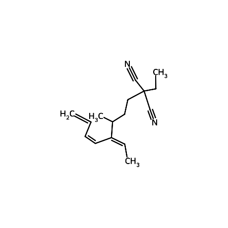 C=C/C=C\C(=C/C)C(C)CCC(C#N)(C#N)CC